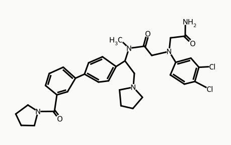 CN(C(=O)CN(CC(N)=O)c1ccc(Cl)c(Cl)c1)C(CN1CCCC1)c1ccc(-c2cccc(C(=O)N3CCCC3)c2)cc1